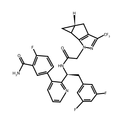 NC(=O)c1cc(-c2cccnc2[C@H](Cc2cc(F)cc(F)c2)NC(=O)Cn2nc(C(F)(F)F)c3c2C2C[C@@H]2C3)ccc1F